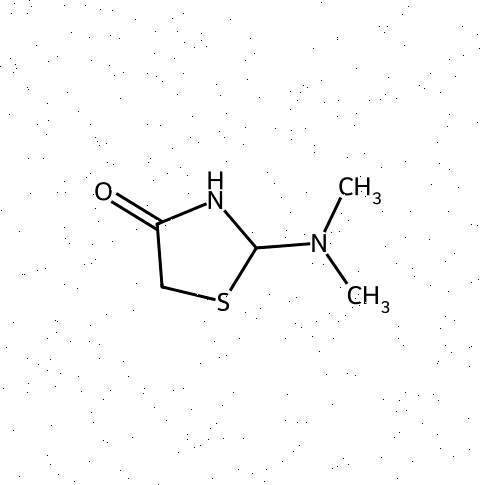 CN(C)C1NC(=O)CS1